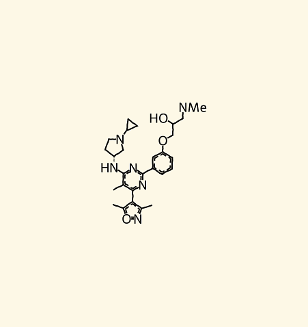 CNCC(O)COc1cccc(-c2nc(N[C@@H]3CCN(C4CC4)C3)c(C)c(-c3c(C)noc3C)n2)c1